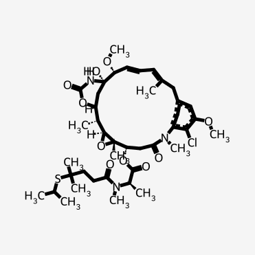 COc1cc2cc(c1Cl)N(C)C(=O)C[C@H](OC(=O)[C@@H](C)N(C)C(=O)CCC(C)(C)SC(C)C)[C@]1(C)O[C@H]1[C@H](C)[C@@H]1C[C@@](O)(NC(=O)O1)[C@H](OC)/C=C/C=C(\C)C2